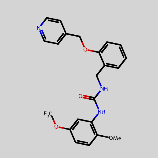 COc1ccc(OC(F)(F)F)cc1NC(=O)NCc1ccccc1OCc1ccncc1